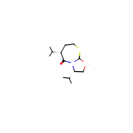 CC(C)[C@H]1CCS[C@H]2OC[C@@H](C(C)C)N2C1=O